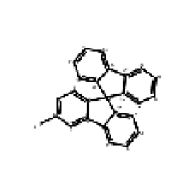 Ic1ccc2c(c1)-c1ccccc1C21c2ccccc2-c2ccccc21